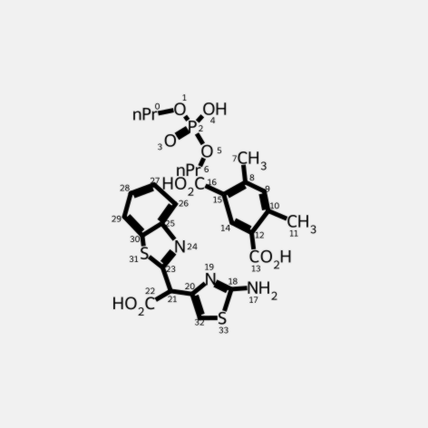 CCCOP(=O)(O)OCCC.Cc1cc(C)c(C(=O)O)cc1C(=O)O.Nc1nc(C(C(=O)O)c2nc3ccccc3s2)cs1